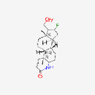 C[C@]12C=CC(=O)NC1CC[C@@H]1[C@H]2CC[C@]2(C)C(CO)C(F)C[C@@H]12